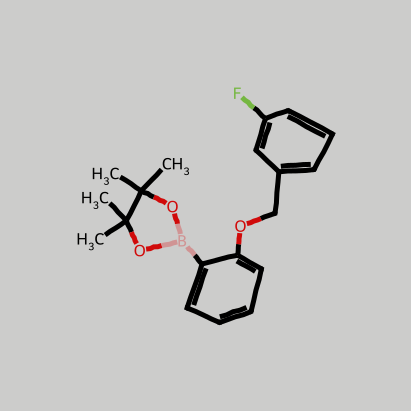 CC1(C)OB(c2ccccc2OCc2cccc(F)c2)OC1(C)C